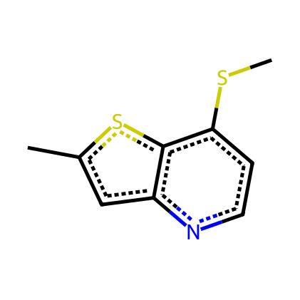 CSc1ccnc2cc(C)sc12